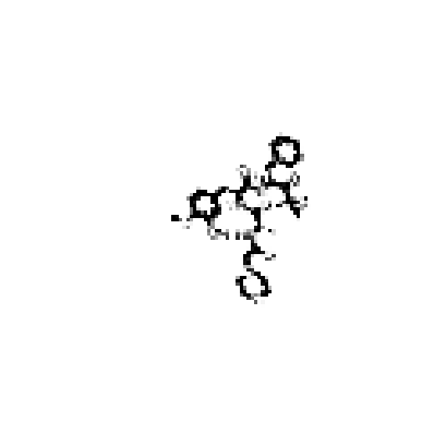 COc1ccc(C[C@H](NC(=O)[C@H](C)NC(=O)CN2CCOCC2)C(=O)N[C@@H](Cc2ccccc2)C(=O)[C@@]2(C)CO2)cc1O